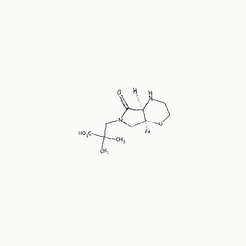 CC(C)(CN1C[C@@H]2OCCN[C@@H]2C1=O)C(=O)O